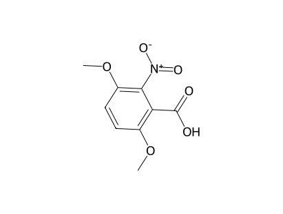 COc1ccc(OC)c([N+](=O)[O-])c1C(=O)O